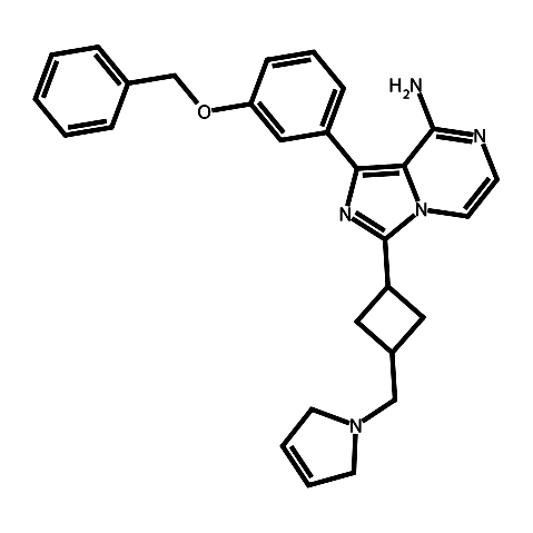 Nc1nccn2c(C3CC(CN4CC=CC4)C3)nc(-c3cccc(OCc4ccccc4)c3)c12